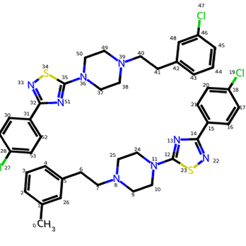 Cc1cccc(CCN2CCN(c3nc(-c4ccc(Cl)cc4)ns3)CC2)c1.Clc1ccc(-c2nsc(N3CCN(CCc4cccc(Cl)c4)CC3)n2)cc1